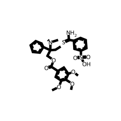 CCC(COC(=O)c1cc(OC)c(OC)c(OC)c1)(c1ccccc1)N(C)C.NC(=S)c1cccc(S(=O)(=O)O)c1